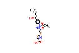 CCCCC(O)c1ccc(N(NCCSc2nc(C(=O)O)cs2)S(C)(=O)=O)cc1